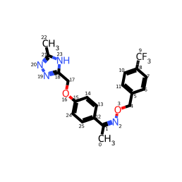 CC(=NOCc1ccc(C(F)(F)F)cc1)c1ccc(OCc2nnc(C)[nH]2)cc1